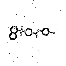 O=Nc1ccc(OC(=O)N2CCN(S(=O)(=O)c3cccc4ccccc34)CC2)cc1